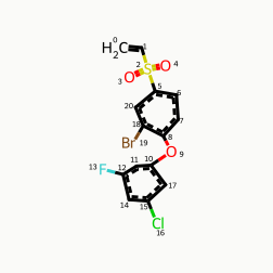 C=CS(=O)(=O)c1ccc(Oc2cc(F)cc(Cl)c2)c(Br)c1